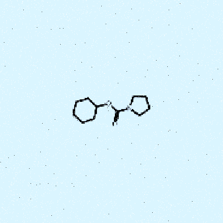 O=C(OC1CCCCC1)N1C[CH]CC1